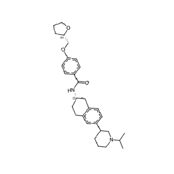 CC(C)N1CCCC(c2ccc3c(c2)CC[C@H](NC(=O)c2ccc(OC[C@@H]4CCCO4)cc2)C3)C1